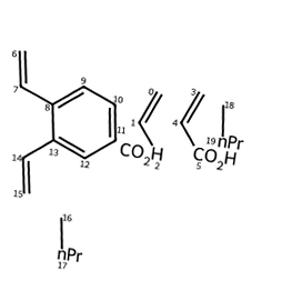 C=CC(=O)O.C=CC(=O)O.C=Cc1ccccc1C=C.CCCC.CCCC